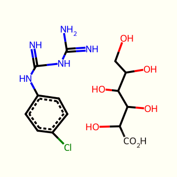 N=C(N)NC(=N)Nc1ccc(Cl)cc1.O=C(O)C(O)C(O)C(O)C(O)CO